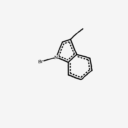 Cc1cn(Br)c2ccccc12